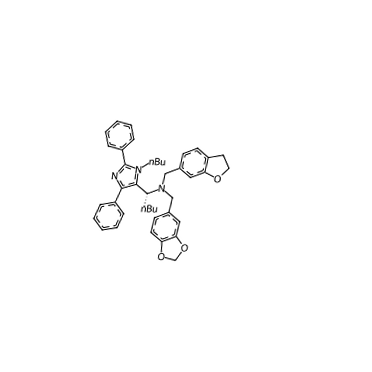 CCCC[C@H](c1c(-c2ccccc2)nc(-c2ccccc2)n1CCCC)N(Cc1ccc2c(c1)OCC2)Cc1ccc2c(c1)OCO2